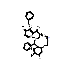 O=C1c2c(OCc3ccccc3)c(=O)ccn2N2CN1C/C=C\COc1cc(F)c(F)cc1C2c1ccccn1